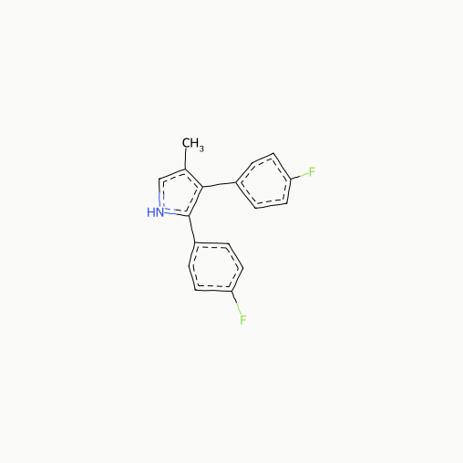 Cc1c[nH]c(-c2ccc(F)cc2)c1-c1ccc(F)cc1